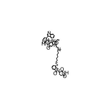 C=CC(=O)Nc1cc(Nc2nccc(-c3cn(C)c4ccccc34)n2)c(OC)cc1N(C)CCN(C)CCCCCCCSc1cccc2c1CN(C1CCC(=O)NC1=O)C2=O